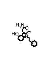 CCc1c(CC(N)=O)c2c(O)cccc2n1CCc1ccccc1